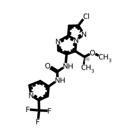 CO[C@@H](C)c1c(NC(=O)Nc2ccnc(C(F)(F)F)c2)cnc2cc(Cl)nn12